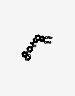 COc1cc2c(cc1OC)-c1cc(C(C)NC3CCN(c4cccc5c4OCCO5)CC3)cn1CC2